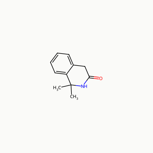 CC1(C)NC(=O)Cc2ccccc21